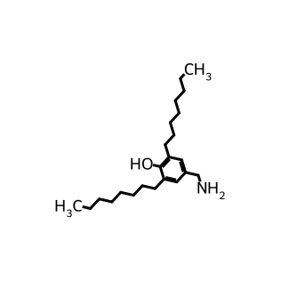 CCCCCCCCc1cc(CN)cc(CCCCCCCC)c1O